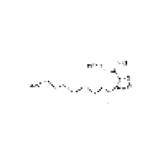 CCCCCCCCCCCCCCCCCC(C)n1ccnc1C(CCCCCCCC)CCCCCCCCCCC